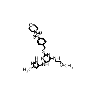 COCCNc1cc(Nc2cc(C)n[nH]2)nc(SCc2ccc(S(=O)(=O)N3CCOCC3)cc2)n1